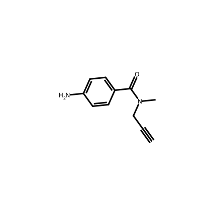 C#CCN(C)C(=O)c1ccc(N)cc1